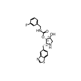 O=C(NCc1cccc(F)c1)O[C@@H]1[C@@H](O)CN[C@@H]1Cc1ccc2scnc2c1